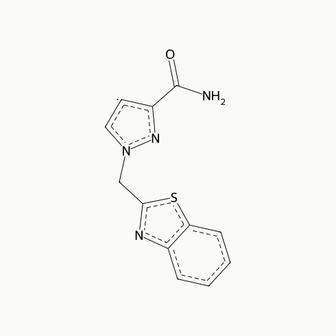 NC(=O)c1[c]cn(Cc2nc3ccccc3s2)n1